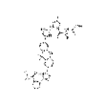 COC(=O)N[C@H](C(=O)N1CC(C)=C[C@H]1c1nc(-c2ccc3c(c2)Oc2ccc(-c4cnc([C@@H]5CCCN5C(=O)[C@@H](C)C(C)C)[nH]4)cc2C3(C)C)c[nH]1)C(C)C